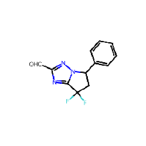 O=Cc1nc2n(n1)C(c1ccccc1)CC2(F)F